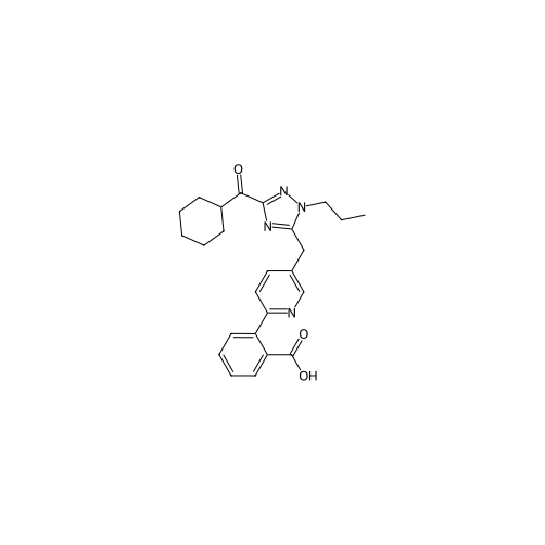 CCCn1nc(C(=O)C2CCCCC2)nc1Cc1ccc(-c2ccccc2C(=O)O)nc1